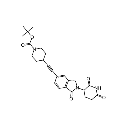 CC(C)(C)OC(=O)N1CCC(C#Cc2ccc3c(c2)CN(C2CCC(=O)NC2=O)C3=O)CC1